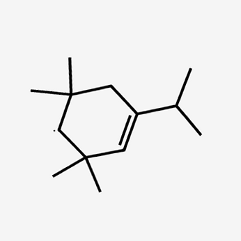 CC(C)C1=CC(C)(C)[CH]C(C)(C)C1